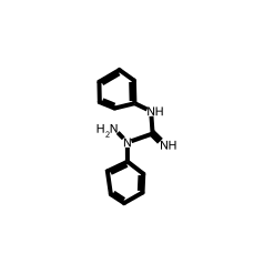 N=C(Nc1ccccc1)N(N)c1ccccc1